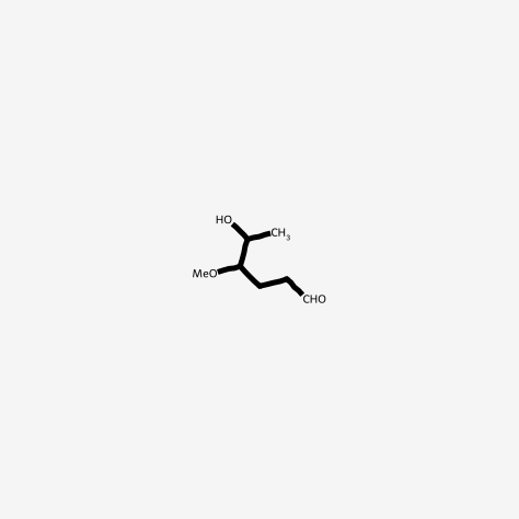 COC(CCC=O)C(C)O